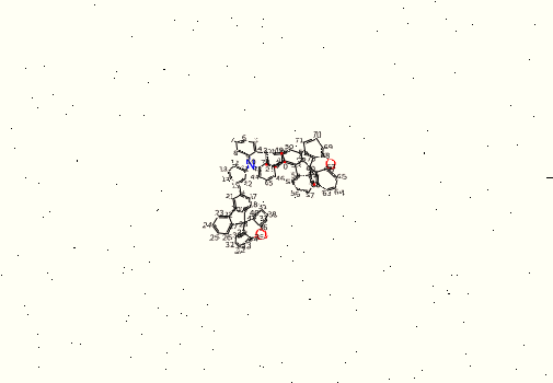 c1ccc(-c2ccccc2N(c2cccc(-c3ccc4c(c3)-c3ccccc3C43c4ccccc4Oc4ccccc43)c2)c2cccc(-c3cccc4c3-c3ccccc3C43c4ccccc4Oc4ccccc43)c2)cc1